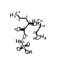 C=C(CCC)C(=O)ONS(=O)(=O)O.CCCC